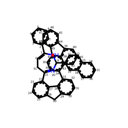 C1=C(c2ccccc2)NC(c2ccc3ccccc3c2)N=C(c2cccc3c2-c2c(cccc2-c2ccc4c5c(cccc25)-c2ccccc2-4)C3)C1